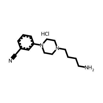 Cl.N#Cc1cccc(N2CCN(CCCCN)CC2)c1